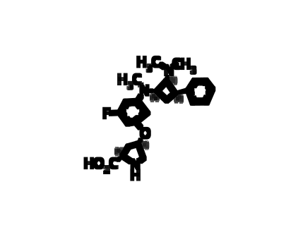 CN(C)[C@@H]1[C@@H](c2ccccc2)C[C@@H]1N(C)c1cc(F)cc(O[C@@H]2CN[C@H](C(=O)O)C2)c1